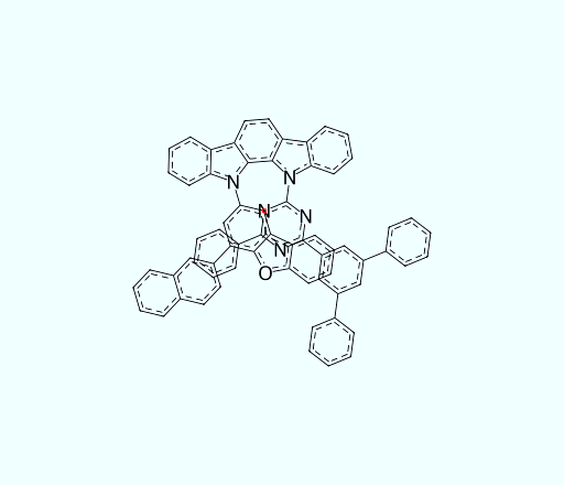 c1ccc(-c2cc(-c3ccccc3)cc(-c3nc(-c4ccccc4)nc(-n4c5ccccc5c5ccc6c7ccccc7n(-c7cc(-c8ccc9ccccc9c8)c8oc9ccccc9c8c7)c6c54)n3)c2)cc1